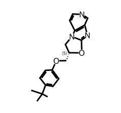 CC(C)(C)c1ccc(OC[C@@H]2Cn3c(nc4cnccc43)O2)cc1